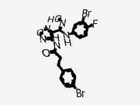 O=C(CCc1ccc(Br)cc1)Nc1nonc1/C(=N\O)Nc1ccc(F)c(Br)c1